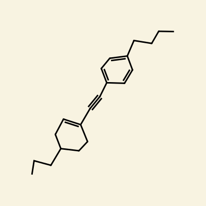 CCCCc1ccc(C#CC2=CCC(CCC)CC2)cc1